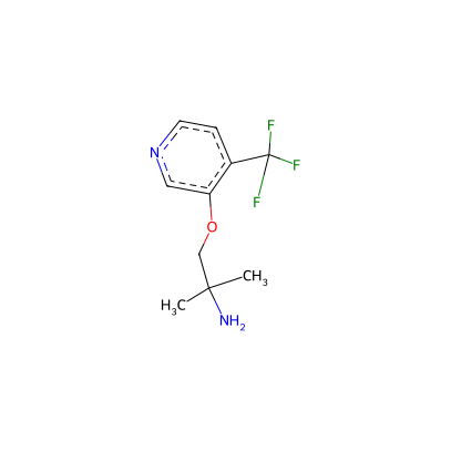 CC(C)(N)COc1cnccc1C(F)(F)F